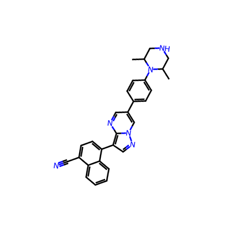 CC1CNCC(C)N1c1ccc(-c2cnc3c(-c4ccc(C#N)c5ccccc45)cnn3c2)cc1